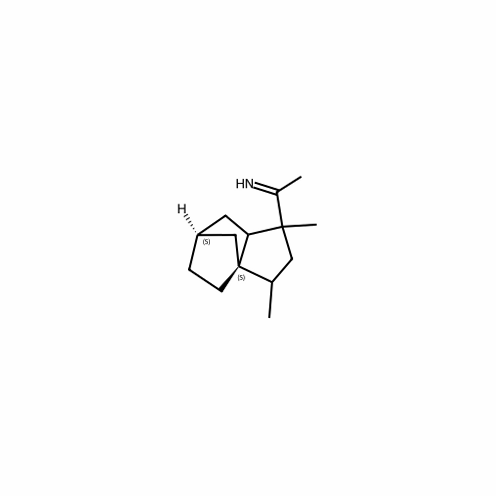 CC(=N)C1(C)CC(C)[C@@]23CC[C@@H](CC12)C3